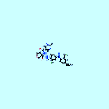 COc1ccc(Nc2ccc(CNC(=O)[C@]3(NC(=O)c4cnc(C)nc4)CCOC3)c(F)c2)c(CF)c1